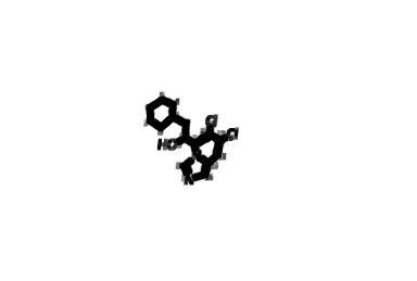 OC(CC1CCCCC1)c1c(Cl)c(Cl)cc2cncn12